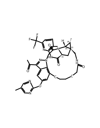 CC(=O)c1nn2c3c(cc(Oc4ncc(C)cn4)cc13)CCCCCC(=O)NC[C@@]13C[C@@H](C(=O)Nc4nc(C(F)(F)F)ccc4C)N(C(=O)C2)[C@@H]1[C@@H]3C